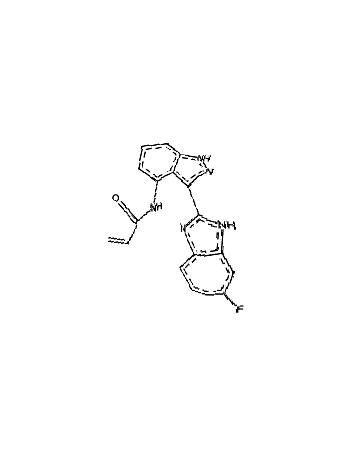 C=CC(=O)Nc1cccc2[nH]nc(-c3nc4ccc(F)cc4[nH]3)c12